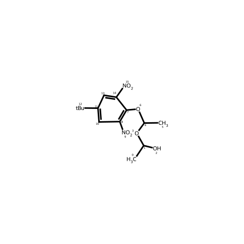 CC(O)OC(C)Oc1c([N+](=O)[O-])cc(C(C)(C)C)cc1[N+](=O)[O-]